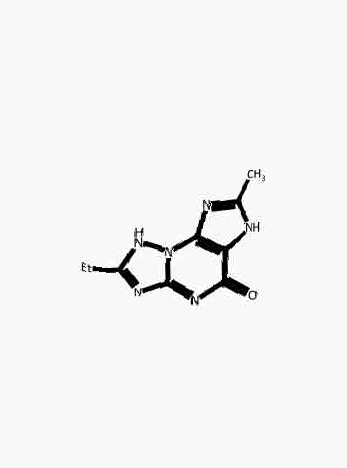 CCc1nc2nc(=O)c3[nH]c(C)nc3n2[nH]1